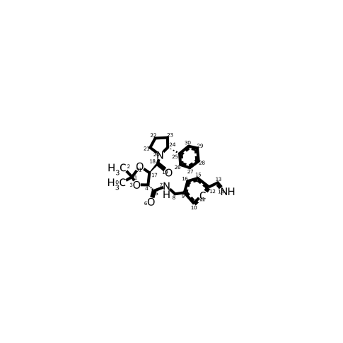 CC1(C)O[C@@H](C(=O)NCc2ccc(C=N)cc2)[C@H](C(=O)N2CCC[C@@H]2c2ccccc2)O1